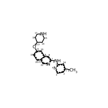 Cc1ccnc(Nc2cc3cc(OC4CCNCC4)ccc3cn2)c1